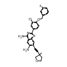 CC1(C#Cc2cc3nc(-c4ccc(OCc5cccc(F)c5)c(Cl)c4)nc(N)c3cc2N)CCOC1